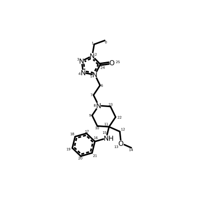 CCn1nnn(CCN2CCC(COC)(Nc3ccccc3)CC2)c1=O